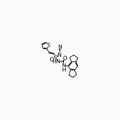 N#CN=S(=O)(/C=C/c1cccs1)NC(=O)Nc1c2c(cc3c1CCC3)CCC2